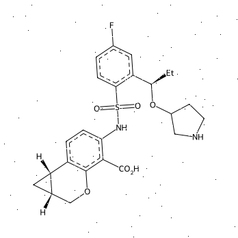 CC[C@@H](OC1CCNC1)c1cc(F)ccc1S(=O)(=O)Nc1ccc2c(c1C(=O)O)OC[C@@H]1C[C@H]21